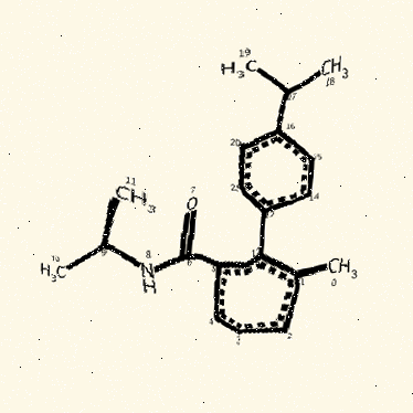 Cc1cccc(C(=O)NC(C)C)c1-c1ccc(C(C)C)cc1